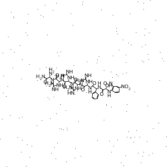 N=C(N)NC(NC(=O)C(NC(=N)N)NC(=O)C(NC(=N)N)NC(=O)C(NC(=N)N)NC(=O)C(NC(=O)C(O)Nc1ccc([N+](=O)[O-])cc1[N+](=O)[O-])c1ccccc1)C(=O)NC(N)C(N)=O